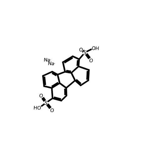 O=S(=O)(O)c1ccc2c3cccc4c(S(=O)(=O)O)ccc(c5cccc1c52)c43.[Na].[Na]